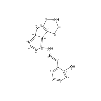 Oc1ccccc1C=NNc1ncnc2sc3c(c12)CCNC3